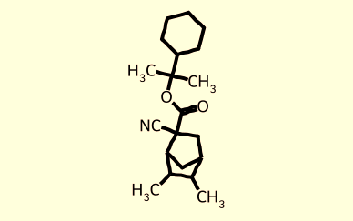 CC1C2CC(C1C)C(C#N)(C(=O)OC(C)(C)C1CCCCC1)C2